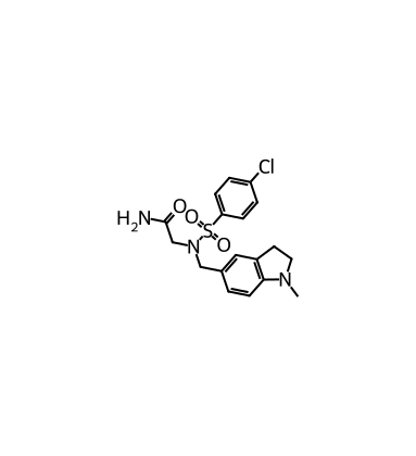 CN1CCc2cc(CN(CC(N)=O)S(=O)(=O)c3ccc(Cl)cc3)ccc21